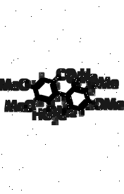 COc1cc(C(=O)O)c(-c2c(C(=O)O)cc(OC)c(OC)c2OC)c(OC)c1OC